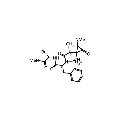 CC[C@H](C)[C@H](NC(=O)[C@H](Cc1ccccc1)N(C)C(=O)[C@H](C)C1(C)C(=O)C1NC)C(=O)NC